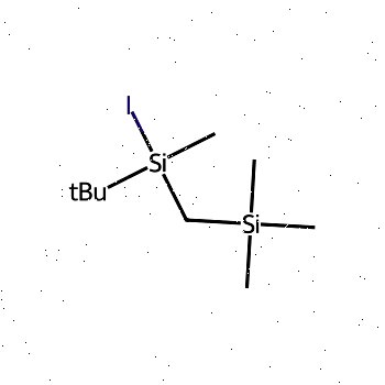 CC(C)(C)[Si](C)(I)C[Si](C)(C)C